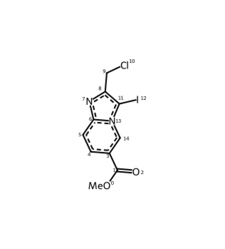 COC(=O)c1ccc2nc(CCl)c(I)n2c1